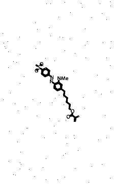 C=C(C)C(=O)OCCCCCCc1ccc(N=Nc2ccc(S(C)(=O)=O)cc2)c(NC)c1